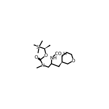 C[C@@H](OC(=O)N(C)CC(C[C@H]1CCCOC1)NC(=O)O)[Si](C)(C)C